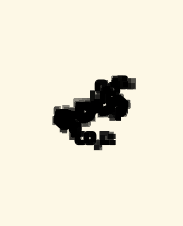 CCOC(=O)COc1ccccc1C1CCC(OCc2ncccc2NC(=O)OC(C)(C)C)CC1